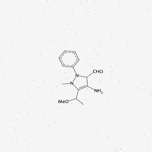 COC(C)C1=C(N)C(C=O)N(c2ccccc2)N1C